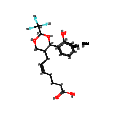 O=C(O)CCC/C=C\CC1COC(C(F)(F)F)OC1c1ccccc1O.[NaH].[NaH]